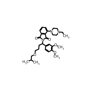 CCN1CCN(c2cccc3c2C(=O)N(C(CCCOCC(C)C)c2ccc(OC)c(OC)c2)C3=O)CC1